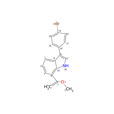 C=C(OC)c1cccc2c(-c3ccc(Br)cc3)c[nH]c12